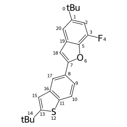 CC(C)(C)c1cc(F)c2oc(-c3ccc4sc(C(C)(C)C)cc4c3)cc2c1